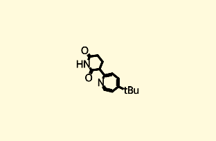 CC(C)(C)C1=CC=C(C2CCC(=O)NC2=O)N=C=C1